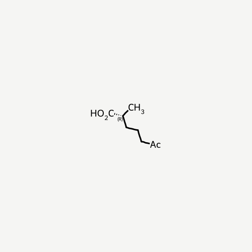 CC(=O)CCC[C@@H](C)C(=O)O